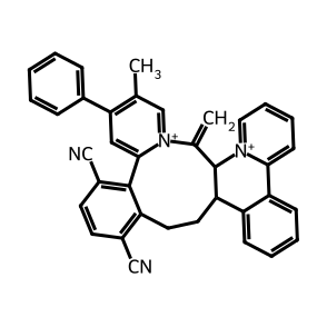 C=C1C2C(CCc3c(C#N)ccc(C#N)c3-c3cc(-c4ccccc4)c(C)c[n+]31)c1ccccc1-c1cccc[n+]12